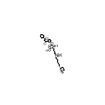 O=C(NC(CCCCNCCCCC[C@@H]1CCSS1)C(=O)O)Oc1ccc2oc(-c3ccccc3)cc(=O)c2c1